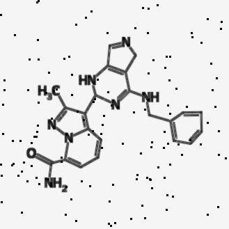 Cc1nn2c(C(N)=O)cccc2c1C1N=C(NCc2ccccc2)C2=C(C=NC2)N1